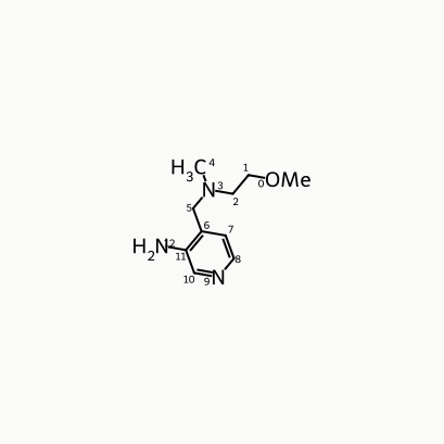 COCCN(C)Cc1ccncc1N